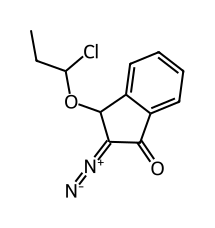 CCC(Cl)OC1C(=[N+]=[N-])C(=O)c2ccccc21